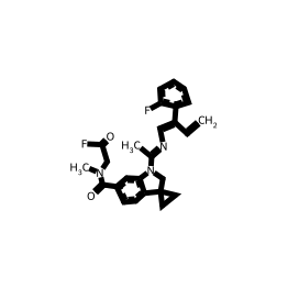 C=C/C(=C\N=C(/C)N1CC2(CC2)c2ccc(C(=O)N(C)CC(=O)F)cc21)c1ccccc1F